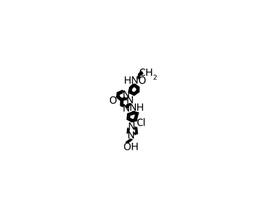 C=CC(=O)Nc1cccc(-n2ccc(=O)c3cnc(Nc4ccc(N5CCN(CCO)CC5)c(Cl)c4)nc32)c1